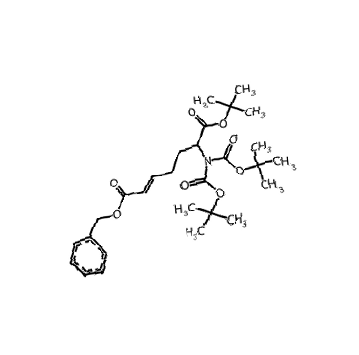 CC(C)(C)OC(=O)C(CCC=CC(=O)OCc1ccccc1)N(C(=O)OC(C)(C)C)C(=O)OC(C)(C)C